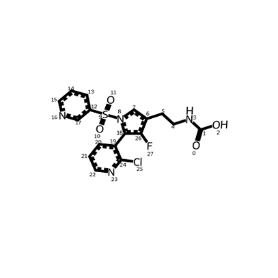 O=C(O)NCCc1cn(S(=O)(=O)c2cccnc2)c(-c2cccnc2Cl)c1F